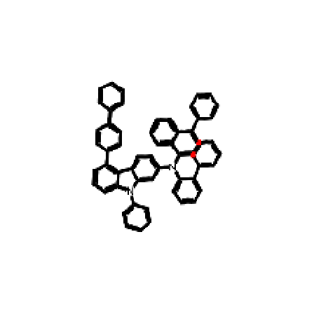 c1ccc(-c2ccc(-c3cccc4c3c3ccc(N(c5ccccc5-c5ccccc5)c5ccc(-c6ccccc6)c6ccccc56)cc3n4-c3ccccc3)cc2)cc1